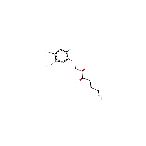 O=C(CCCCl)C(=O)COc1cc(Cl)c(Cl)cc1Cl